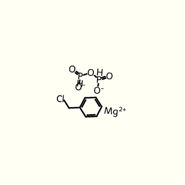 ClCc1ccccc1.O=[PH]([O-])O[PH](=O)[O-].[Mg+2]